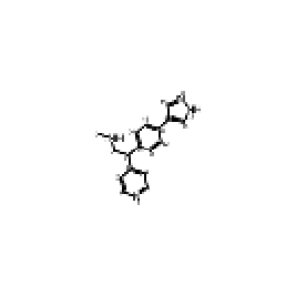 CNCC(c1ccncc1)c1ccc(-c2cn[nH]c2)cc1